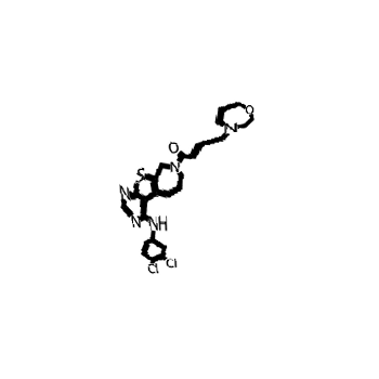 O=C(C=CCN1CCCOCC1)N1CCCc2c(sc3ncnc(Nc4ccc(Cl)c(Cl)c4)c23)C1